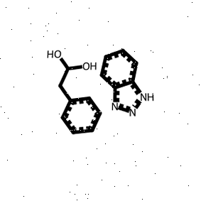 OC(O)Cc1ccccc1.c1ccc2[nH]nnc2c1